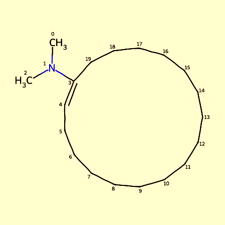 CN(C)/C1=C/CCCCCCCCCCCCCCC1